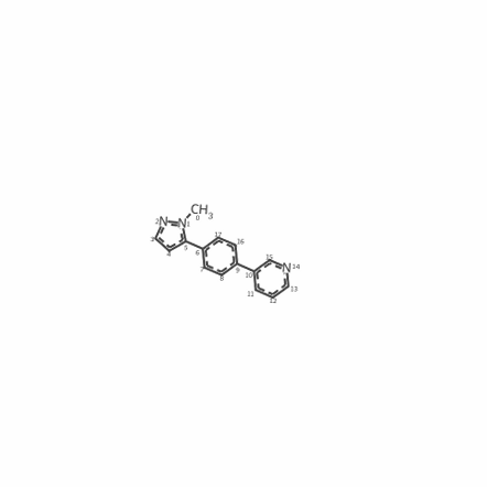 Cn1nccc1-c1ccc(-c2cccnc2)cc1